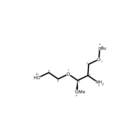 CCCCOCC(N)[C@@H](OC)OCCO